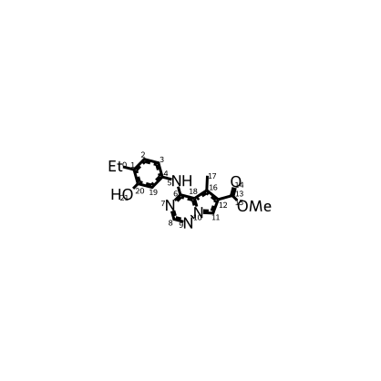 CCc1ccc(Nc2ncnn3cc(C(=O)OC)c(C)c23)cc1O